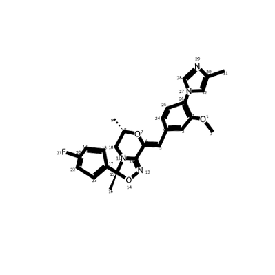 COc1cc(C=C2O[C@@H](C)CN3C2=NO[C@]3(C)c2ccc(F)cc2)ccc1-n1cnc(C)c1